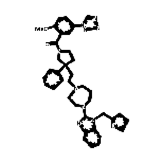 COc1ccc(-n2cnnn2)cc1C(=O)N1CCC(CCN2CCCN(c3nc4ccccc4n3Cc3ccco3)CC2)(c2ccccc2)C1